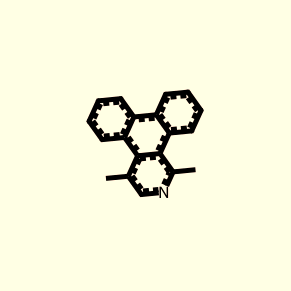 Cc1cnc(C)c2c3ccccc3c3ccccc3c12